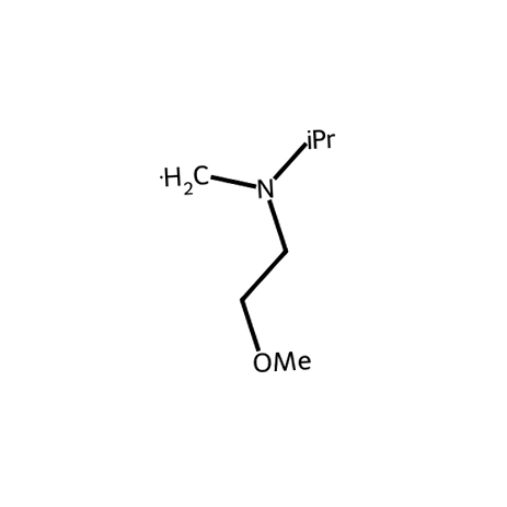 [CH2]N(CCOC)C(C)C